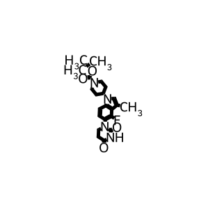 Cc1cn(C2CCN(C(=O)OC(C)(C)C)CC2)c2ccc(N3CCC(=O)NC3=O)c(F)c12